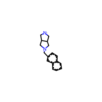 c1ccc2cc(CN3CC4C[N]CC4C3)ccc2c1